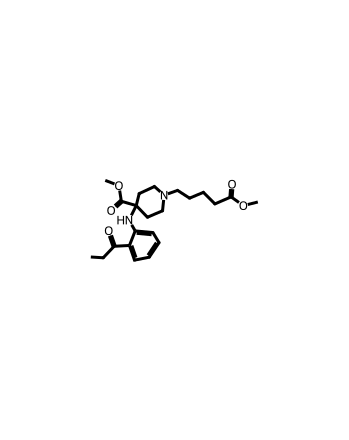 CCC(=O)c1ccccc1NC1(C(=O)OC)CCN(CCCCC(=O)OC)CC1